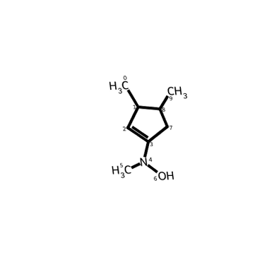 CC1C=C(N(C)O)CC1C